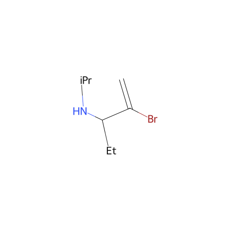 C=C(Br)C(CC)NC(C)C